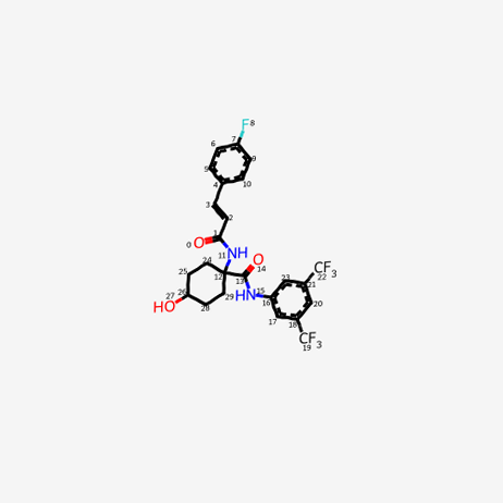 O=C(/C=C/c1ccc(F)cc1)NC1(C(=O)Nc2cc(C(F)(F)F)cc(C(F)(F)F)c2)CCC(O)CC1